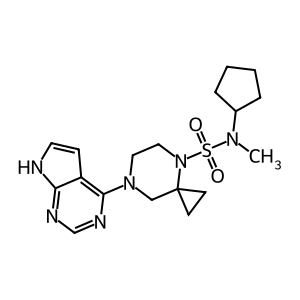 CN(C1CCCC1)S(=O)(=O)N1CCN(c2ncnc3[nH]ccc23)CC12CC2